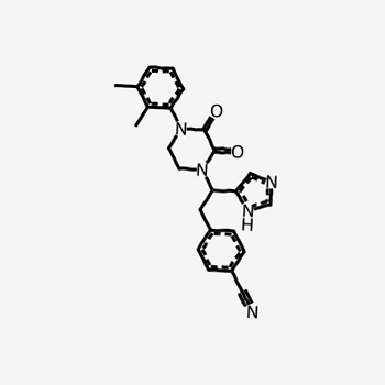 Cc1cccc(N2CCN(C(Cc3ccc(C#N)cc3)c3cnc[nH]3)C(=O)C2=O)c1C